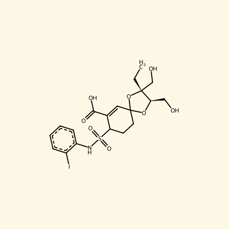 CC[C@]1(CO)OC2(C=C(C(=O)O)C(S(=O)(=O)Nc3ccccc3I)CC2)O[C@@H]1CO